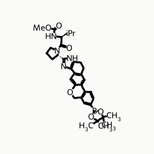 COC(=O)N[C@H](C(=O)N1CCC[C@H]1c1nc2c([nH]1)CCc1cc3c(cc1-2)OCc1cc(B2OC(C)(C)C(C)(C)O2)ccc1-3)C(C)C